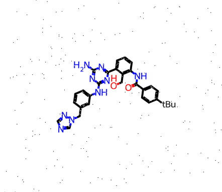 CC(C)(C)c1ccc(C(=O)Nc2cccc(-c3nc(N)nc(Nc4cccc(Cn5cncn5)c4)n3)c2CO)cc1